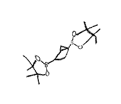 CC1(C)OB(C23CC(B4OC(C)(C)C(C)(C)O4)(C2)C3)OC1(C)C